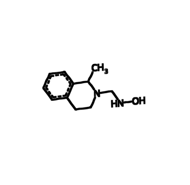 CC1c2ccccc2CCN1CNO